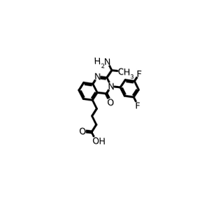 CC(N)c1nc2cccc(CCCC(=O)O)c2c(=O)n1-c1cc(F)cc(F)c1